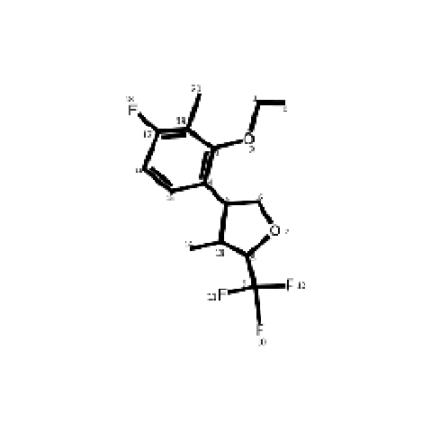 CCOc1c(C2COC(C(F)(F)F)C2C)ccc(F)c1C